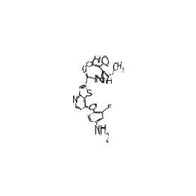 CCN(NC(=O)c1cc2nccc(Oc3ccc(N)cc3F)c2s1)C(=O)O